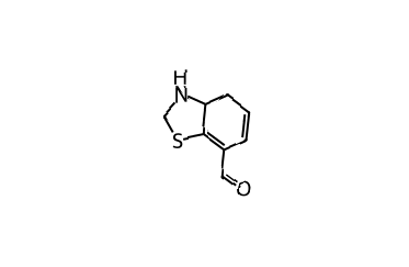 O=CC1=C2SCNC2CC=C1